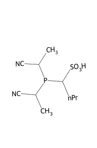 CCCC(P(C(C)C#N)C(C)C#N)S(=O)(=O)O